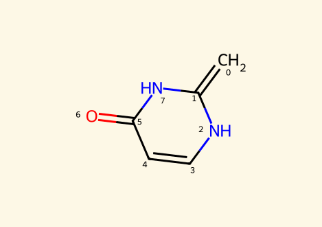 C=C1NC=CC(=O)N1